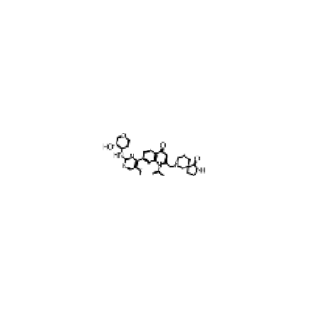 CC(C)n1c(CN2CCC[C@@]3(CCNC3=O)C2)cc(=O)c2ccc(-c3nc(N[C@@H]4CCOC[C@H]4O)ncc3F)cc21